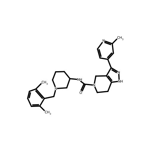 Cc1cc(-c2n[nH]c3c2CN(C(=O)NC2CCCN(Cc4c(C)cccc4C)C2)CC3)ccn1